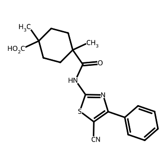 CC1(C(=O)O)CCC(C)(C(=O)Nc2nc(-c3ccccc3)c(C#N)s2)CC1